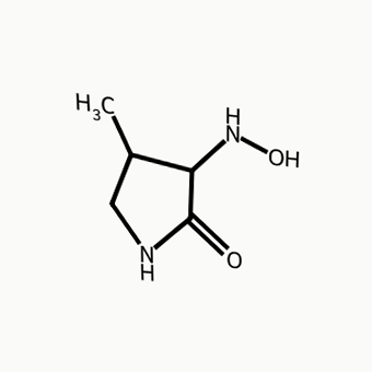 CC1CNC(=O)C1NO